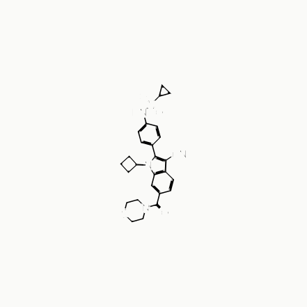 N#Cc1c(-c2ccc(NS(=O)(=O)C3CC3)cc2)n(C2CCC2)c2cc(C(=O)N3CCSCC3)ccc12